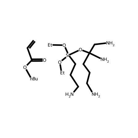 C=CC(=O)OCCCC.CCO[Si](CCCN)(OCC)OC(N)(CN)CCCN